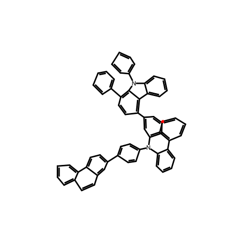 c1ccc(-c2ccccc2N(c2ccc(-c3ccc4c(ccc5ccccc54)c3)cc2)c2cccc(-c3ccc(-c4ccccc4)c4c3c3ccccc3n4-c3ccccc3)c2)cc1